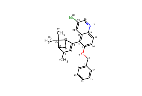 CC1C=C(c2c(OCc3ccccc3)ccc3ncc(Br)cc23)C2CC1C2(C)C